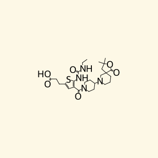 CCNC(=O)Nc1sc(CCC(=O)O)cc1C(=O)N1CCC(N2CCCC3(C2)CC(C)(C)OC3=O)CC1